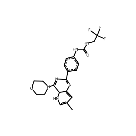 CC1=CNC2C(=C1)N=C(c1ccc(NC(=O)NCC(F)(F)F)cc1)N=C2N1CCOCC1